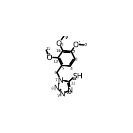 COc1ccc(Cn2nnnc2S)c(OC)c1OC